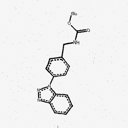 CC(C)(C)OC(=O)NCc1ccc(-n2nnc3ccccc32)cc1